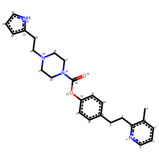 Cc1cccnc1CCc1ccc(OC(=O)N2CCN(CCc3ccc[nH]3)CC2)cc1